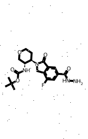 CC(C)(C)OC(=O)N[C@@H]1COCC[C@H]1N1Cc2c(F)cc(C(=O)NN)cc2C1=O